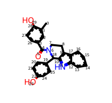 Cc1cc(C(=O)N2CCc3c([nH]c4ccccc34)C2c2ccc(O)cc2)ccc1O